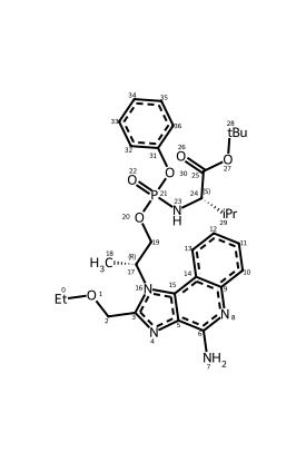 CCOCc1nc2c(N)nc3ccccc3c2n1[C@H](C)COP(=O)(N[C@H](C(=O)OC(C)(C)C)C(C)C)Oc1ccccc1